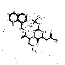 COCC(NC(=O)C(CC(=O)O)NC(=O)OC(C)(C)C)C(=O)NCc1cccc2cccnc12